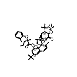 CCCC(C)(Oc1ccccc1C)C(=O)O[C@H]1C[C@H](C(C)(C)C)C=C2C=C[C@H](C)[C@](CC[C@@H]3C[C@H](C(C)(C)C)C(O[SiH](C)C)C(=O)O3)(O[SiH](C)C)[C@H]21